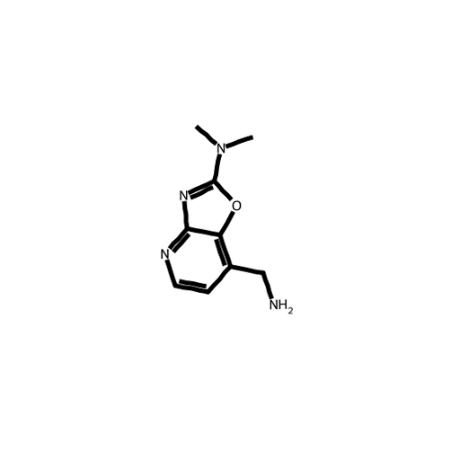 CN(C)c1nc2nccc(CN)c2o1